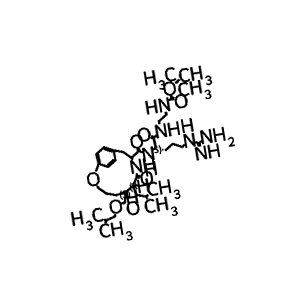 CC(C)COC(=O)[C@H]1CCCOc2ccc(cc2)CC(C(=O)N[C@@H](CCCNC(=N)N)C(=O)NCCNC(=O)OC(C)(C)C)NC(=O)[C@@H]1CC(C)C